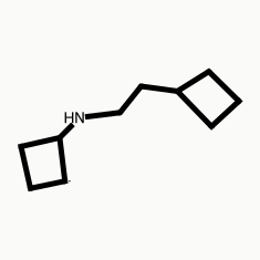 [CH]1CCC1NCCC1CCC1